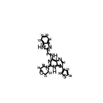 C1=NC2=C(NCc3nc4ccccc4[nH]3)N=C(N3CCOCC3)NC2N1c1ccsc1